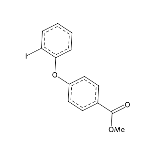 COC(=O)c1ccc(Oc2ccccc2I)cc1